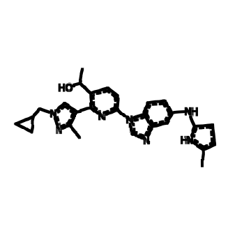 Cc1ccc(Nc2ccc3c(c2)ncn3-c2ccc(C(C)O)c(-c3cn(CC4CC4)nc3C)n2)[nH]1